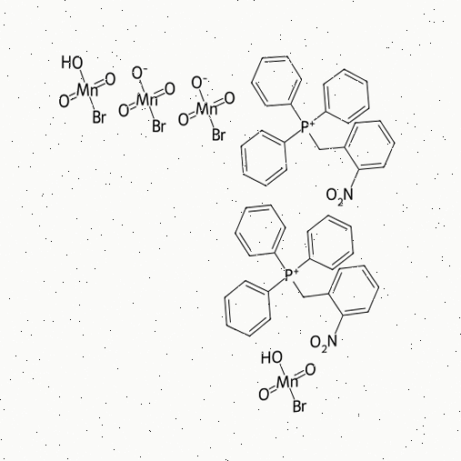 O=[N+]([O-])c1ccccc1C[P+](c1ccccc1)(c1ccccc1)c1ccccc1.O=[N+]([O-])c1ccccc1C[P+](c1ccccc1)(c1ccccc1)c1ccccc1.[O]=[Mn](=[O])([O-])[Br].[O]=[Mn](=[O])([O-])[Br].[O]=[Mn](=[O])([OH])[Br].[O]=[Mn](=[O])([OH])[Br]